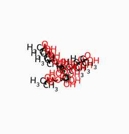 CC(C)C(=O)O.CC(C)C(=O)O.CC(C)C(=O)O.CC(C)C(=O)O.CC(C)C(=O)O.CC(C)C(=O)O.CC(C)C(=O)OC(=O)COC[C@H]1O[C@H](O[C@]2(CO)O[C@H](CO)[C@@H](O)[C@@H]2O)[C@H](O)[C@@H](O)[C@@H]1O